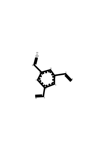 C=Cc1cc(C=C)cc(C=O)c1